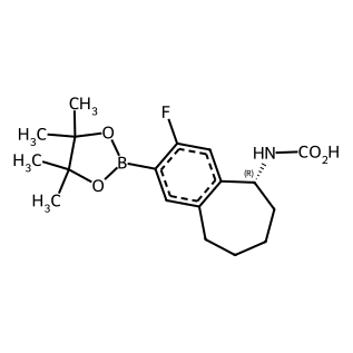 CC1(C)OB(c2cc3c(cc2F)[C@H](NC(=O)O)CCCC3)OC1(C)C